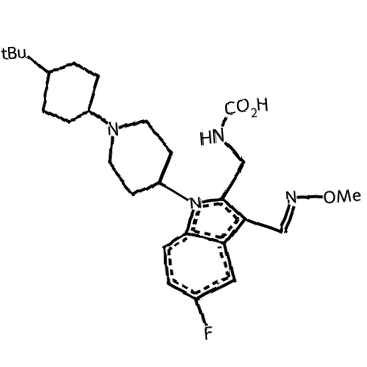 CON=Cc1c(CNC(=O)O)n(C2CCN(C3CCC(C(C)(C)C)CC3)CC2)c2ccc(F)cc12